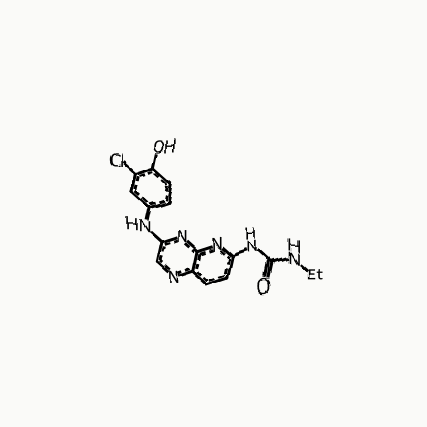 CCNC(=O)Nc1ccc2ncc(Nc3ccc(O)c(Cl)c3)nc2n1